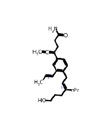 C=C=C(CCC(N)=O)c1ccc(C/C=C(\CCC)CCCO)c(/C=C/C)c1